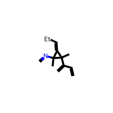 C=CC(=C)C1(C)/C(=C/CC)C1(C)N=C